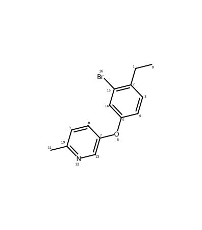 CCc1ccc(Oc2ccc(C)nc2)cc1Br